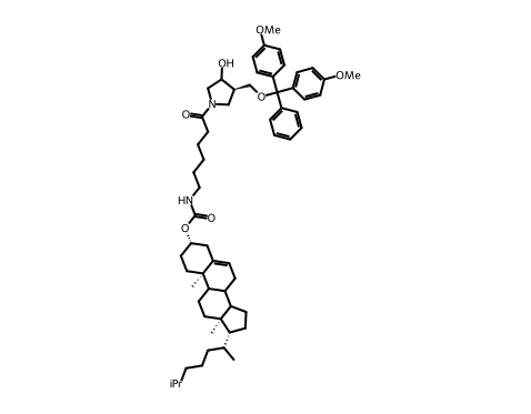 COc1ccc(C(OC[C@H]2CN(C(=O)CCCCCNC(=O)O[C@H]3CC[C@@]4(C)C(=CCC5C4CC[C@@]4(C)C5CC[C@@H]4C(C)CCCC(C)C)C3)CC2O)(c2ccccc2)c2ccc(OC)cc2)cc1